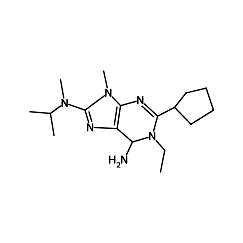 CCN1C(C2CCCC2)=Nc2c(nc(N(C)C(C)C)n2C)C1N